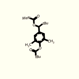 CNC(=O)OC(c1cc(C)c(OC(=O)C(C)(C)C)c(C)c1)C(C)(C)C